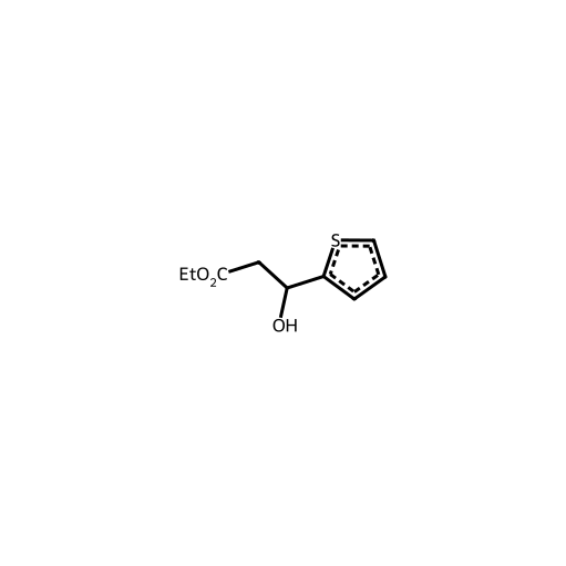 CCOC(=O)CC(O)c1cccs1